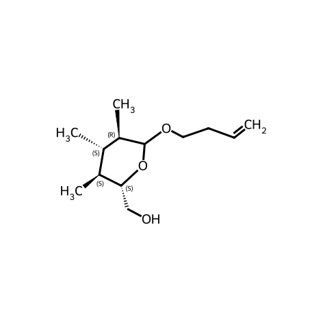 C=CCCOC1O[C@H](CO)[C@@H](C)[C@H](C)[C@H]1C